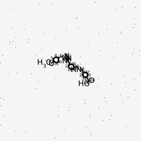 COc1ccc(Cn2nnc(-c3cccc(CNCc4ccc(C(=O)O)cc4)c3)n2)cc1